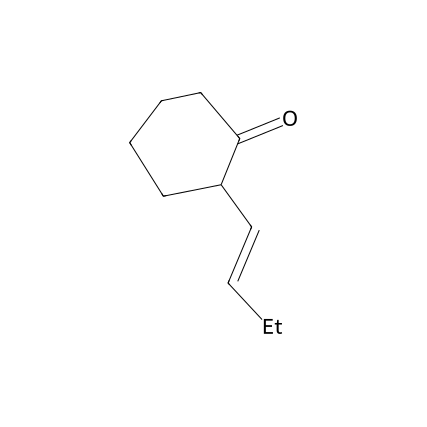 CC/C=C/C1CCCCC1=O